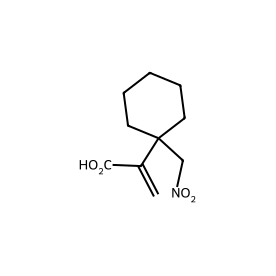 C=C(C(=O)O)C1(C[N+](=O)[O-])CCCCC1